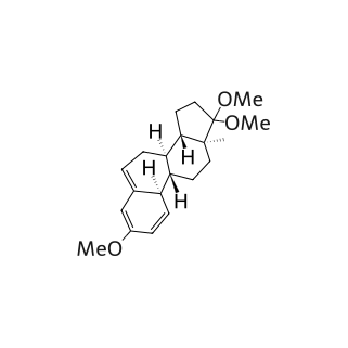 COC1=CC2=CC[C@@H]3[C@H](CC[C@@]4(C)[C@H]3CCC4(OC)OC)[C@H]2C=C1